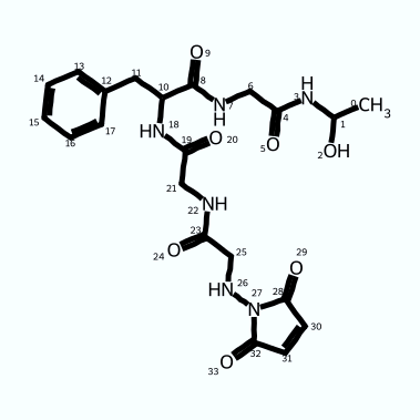 CC(O)NC(=O)CNC(=O)C(Cc1ccccc1)NC(=O)CNC(=O)CNN1C(=O)C=CC1=O